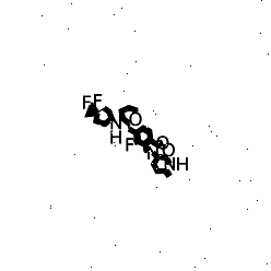 C=C1CCC(N2Cc3c(ccc(C[C@H]4OCCC[C@@H]4N[C@H]4CC[C@]5(CC4)CC5(F)F)c3F)C2=O)C(=O)N1